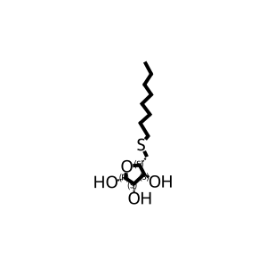 CCCCCCCCSC[C@H]1O[C@@H](O)[C@@H](O)[C@@H]1O